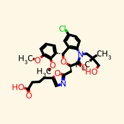 COc1cccc([C@H]2O[C@H](Cc3ncc(CCCC(=O)O)o3)C(=O)N(CC(C)(C)CO)c3ccc(Cl)cc32)c1OC